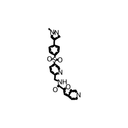 Cn1cc(-c2ccc(S(=O)(=O)c3ccc(CNC(=O)c4cc5ccncc5o4)nc3)cc2)cn1